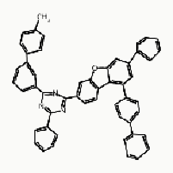 Cc1ccc(-c2cccc(-c3nc(-c4ccccc4)nc(-c4ccc5c(c4)oc4cc(-c6ccccc6)cc(-c6ccc(-c7ccccc7)cc6)c45)n3)c2)cc1